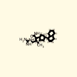 Cn1c(CNC(=N)N)c(C(N)=O)c2ccc(-c3c#ccc4ccccc34)cc21